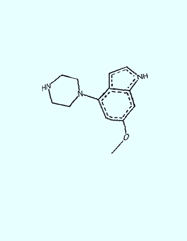 COc1cc(N2CCNCC2)c2cc[nH]c2c1